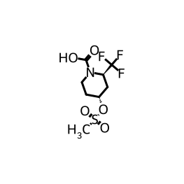 CS(=O)(=O)O[C@@H]1CCN(C(=O)O)[C@@H](C(F)(F)F)C1